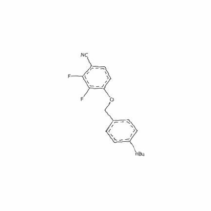 CCCCc1ccc(COc2ccc(C#N)c(F)c2F)cc1